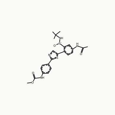 COC(=O)Nc1ccc(-c2ncc(-c3ccc(NC(C)=O)cc3[S+]([O-])NC(C)(C)C)s2)cc1